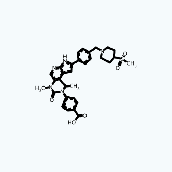 CC1c2c(cnc3[nH]c(-c4ccc(CN5CCC(S(C)(=O)=O)CC5)cc4)cc23)N(C)C(=O)N1c1ccc(C(=O)O)cc1